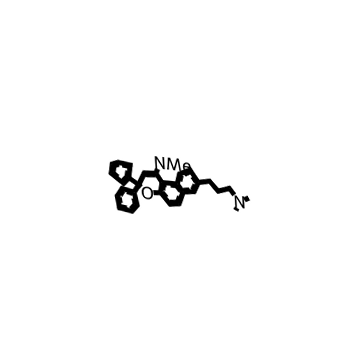 CNC1=CC(c2ccccc2)(c2ccccc2)Oc2ccc3cc(CCCN(C)C)ccc3c21